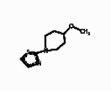 COC1CCN(c2nccs2)CC1